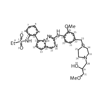 CCS(=O)(=O)Nc1ccccc1-c1ccc2cnc(Nc3ccc(CN4CCN(CC(O)COC)CC4)cc3OC)nn12